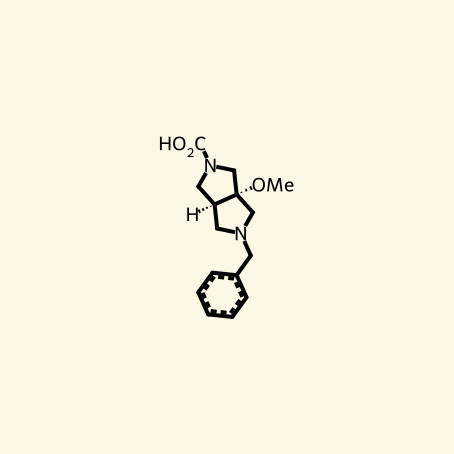 CO[C@]12CN(Cc3ccccc3)C[C@H]1CN(C(=O)O)C2